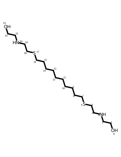 OCCNCCSCCCCCCCCCCSCCNCCO